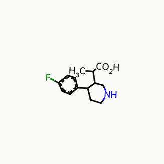 CC(C(=O)O)C1CNCCC1c1ccc(F)cc1